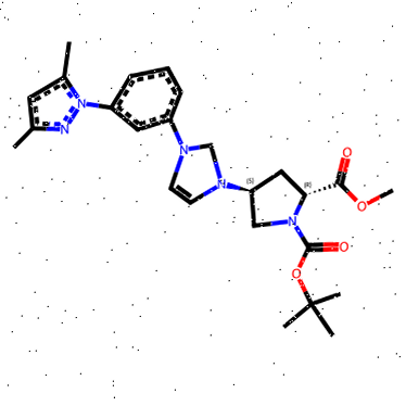 COC(=O)[C@H]1C[C@H](N2C=CN(c3cccc(-n4nc(C)cc4C)c3)C2)CN1C(=O)OC(C)(C)C